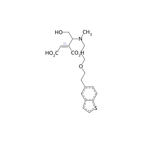 CN(CCCOCCc1ccc2sccc2c1)C(CO)/C(=C/C(=O)O)C(=O)O